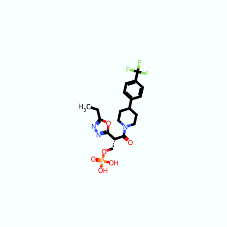 CCc1nnc([C@@H](COP(=O)(O)O)C(=O)N2CCC(c3ccc(C(F)(F)F)cc3)CC2)o1